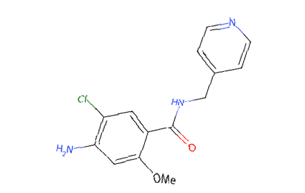 COc1cc(N)c(Cl)cc1C(=O)NCc1ccncc1